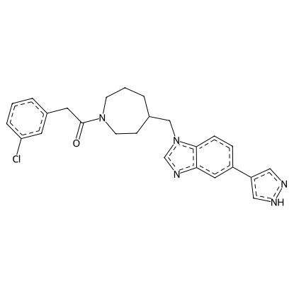 O=C(Cc1cccc(Cl)c1)N1CCCC(Cn2cnc3cc(-c4cn[nH]c4)ccc32)CC1